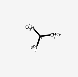 CCCC([C]=O)[N+](=O)[O-]